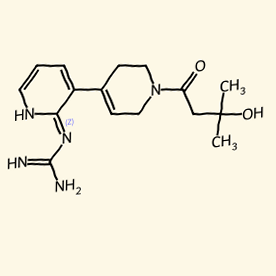 CC(C)(O)CC(=O)N1CC=C(c2ccc[nH]/c2=N\C(=N)N)CC1